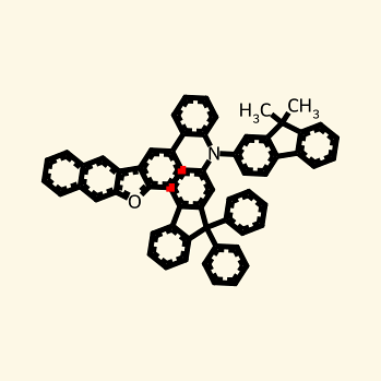 CC1(C)c2ccccc2-c2ccc(N(c3ccc4c(c3)C(c3ccccc3)(c3ccccc3)c3ccccc3-4)c3ccccc3-c3ccc4oc5cc6ccccc6cc5c4c3)cc21